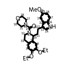 CCOc1cc2c(cc1OCC)C(CCc1c[nH]c3ccc(OC)cc13)N(C(=O)N1CCOCC1)CC2